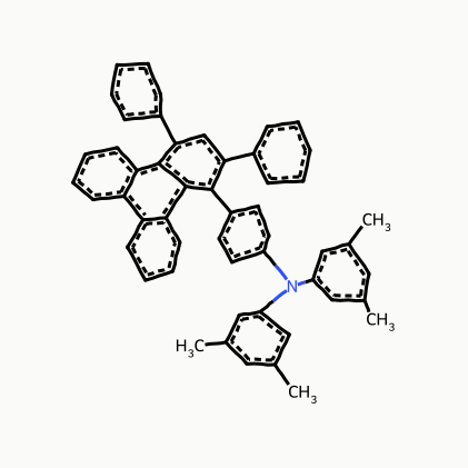 Cc1cc(C)cc(N(c2ccc(-c3c(-c4ccccc4)cc(-c4ccccc4)c4c5ccccc5c5ccccc5c34)cc2)c2cc(C)cc(C)c2)c1